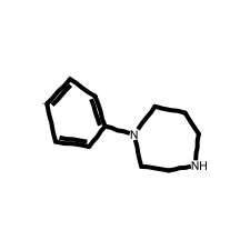 [c]1ccc(N2CCCNCC2)cc1